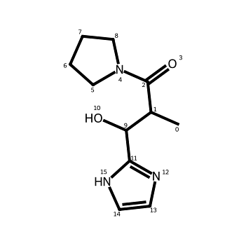 CC(C(=O)N1CCCC1)C(O)c1ncc[nH]1